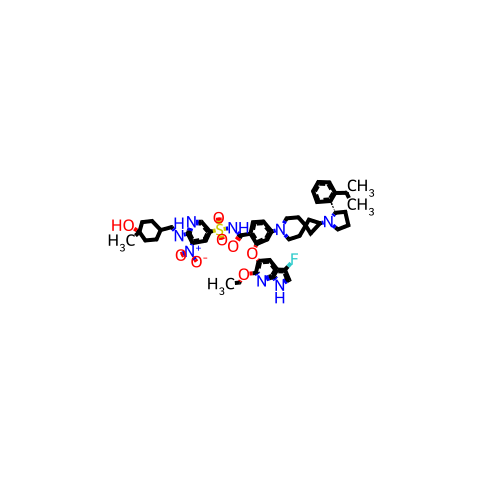 CCOc1nc2[nH]cc(F)c2cc1Oc1cc(N2CCC3(CC2)CC(N2CCC[C@H]2c2ccccc2C(C)C)C3)ccc1C(=O)NS(=O)(=O)c1cnc(NCC2CCC(C)(O)CC2)c([N+](=O)[O-])c1